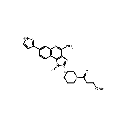 COCCC(=O)N1CCC[C@H](c2nc3c(N)nc4cc(-c5cc[nH]n5)ccc4c3n2C(C)C)C1